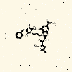 CCn1nc(C)cc1C(=O)Nc1nc2cc(C(N)=O)cc(OC)c2n1CCCN1C(=O)NC(Cc2ccccc2)C1=O